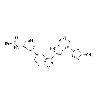 Cc1cn(-c2cncc3[nH]c(-c4n[nH]c5ncc(-c6cncc(NC(=O)C(C)C)c6)cc45)cc23)cn1